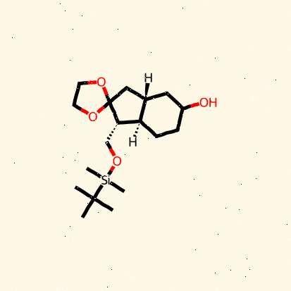 CC(C)(C)[Si](C)(C)OC[C@H]1[C@@H]2CCC(O)C[C@H]2CC12OCCO2